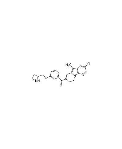 Cc1c2n(c3ncc(Cl)cc13)CCN(C(=O)c1cccc(OCC3CCN3)c1)C2